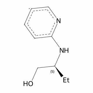 CC[C@@H](CO)Nc1cc[c]cn1